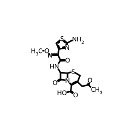 CON=C(C(=O)NC1C(=O)N2C(C(=O)O)=C(CC(C)=O)CSC12)c1csc(N)n1